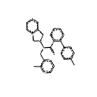 Cc1ccc(-c2ccccc2C(=O)N(Cc2ccccc2C)C2Cc3ccccc3C2)cc1